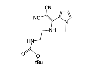 Cn1cccc1C(NCCNC(=O)OC(C)(C)C)=C(C#N)C#N